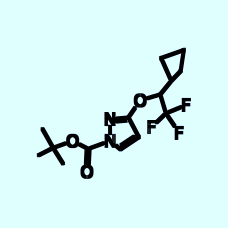 CC(C)(C)OC(=O)n1ccc(OC(C2CCC2)C(F)(F)F)n1